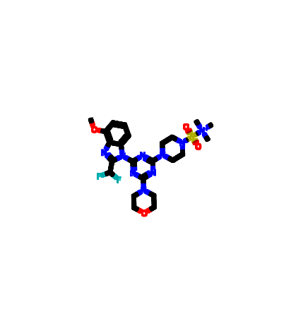 COc1cccc2c1nc(C(F)F)n2-c1nc(N2CCOCC2)nc(N2CCN(S(=O)(=O)[N+](C)(C)C)CC2)n1